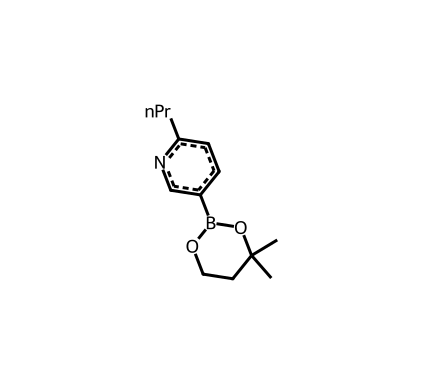 CCCc1ccc(B2OCCC(C)(C)O2)cn1